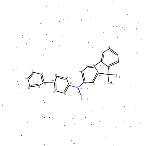 CC1(C)c2ccccc2-c2ccc(N(I)c3ccc(-c4ccccc4)cc3)cc21